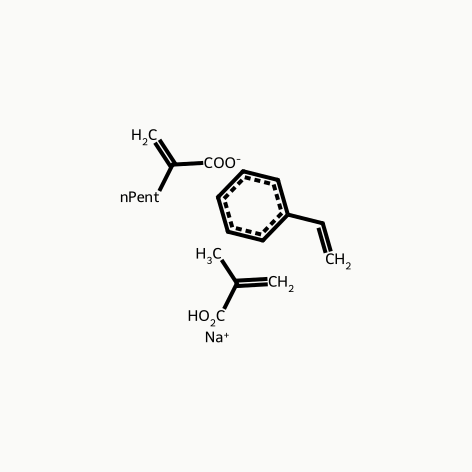 C=C(C)C(=O)O.C=C(CCCCC)C(=O)[O-].C=Cc1ccccc1.[Na+]